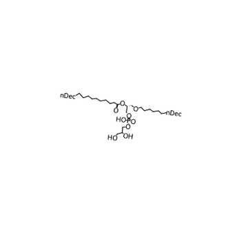 CCCCCCCCCCCCCCCCCCCC(=O)O[C@H](COCCCCCCCCCCCCCCCC)COP(=O)(O)OC[C@@H](O)CO